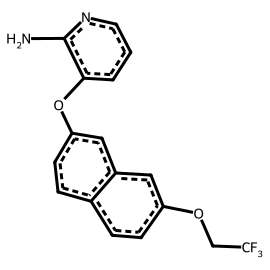 Nc1ncccc1Oc1ccc2ccc(OCC(F)(F)F)cc2c1